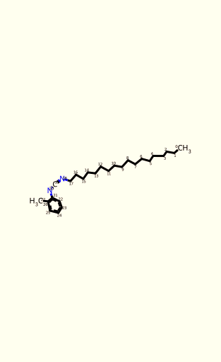 CCCCCCCCCCCCCCCCCCN=C=Nc1ccccc1C